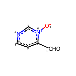 O=[C]c1ccnc[n+]1[O-]